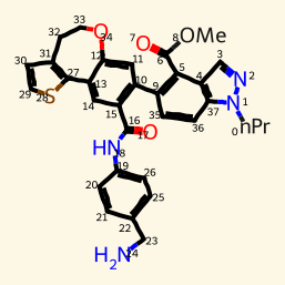 CCCn1ncc2c(C(=O)OC)c(-c3cc4c(cc3C(=O)Nc3ccc(CN)cc3)-c3sccc3CCO4)ccc21